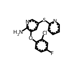 Nc1ncc(Sc2ccccn2)cc1Oc1ccc(F)cc1Cl